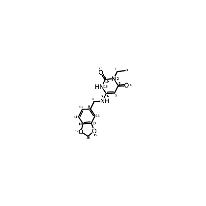 CCn1c(=O)cc(NCc2ccc3c(c2)OCO3)[nH]c1=O